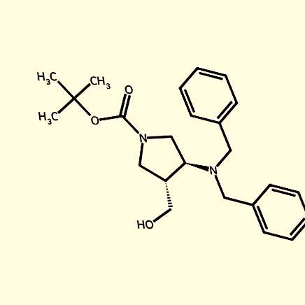 CC(C)(C)OC(=O)N1C[C@@H](CO)[C@H](N(Cc2ccccc2)Cc2ccccc2)C1